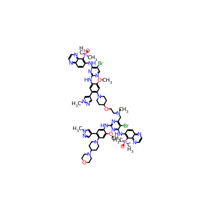 COc1cc(N2CCC(OCCN(C)Cc3nc(Nc4cc(-c5cnn(C)c5)c(N5CCC(N6CCOCC6)CC5)cc4OC)nc(Nc4ccc5nccnc5c4P(C)(C)=O)c3Br)CC2)c(-c2cnn(C)c2)cc1Nc1ncc(Br)c(Nc2ccc3nccnc3c2P(C)(C)=O)n1